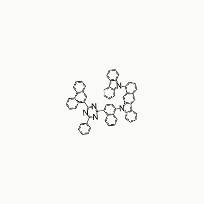 c1ccc(-c2nc(-c3ccc(-n4c5ccccc5c5cc6cccc(-n7c8ccccc8c8ccccc87)c6cc54)c4ccccc34)nc(-c3cc4ccccc4c4ccccc34)n2)cc1